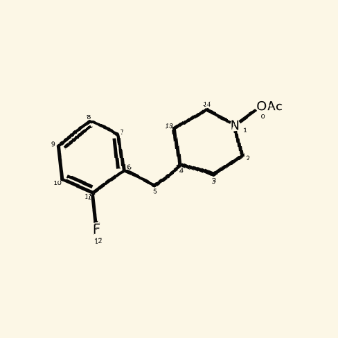 CC(=O)ON1CCC(Cc2ccccc2F)CC1